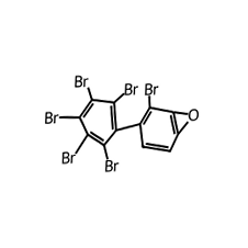 Brc1c(Br)c(Br)c(-c2ccc3c(c2Br)O3)c(Br)c1Br